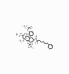 CC(=O)Oc1cccc([C@]23CC[N@@+](C)(CC(C)C)CC2(OC(C)=O)CC[C@H](NC(=O)CCCCCc2ccccc2)C3)c1